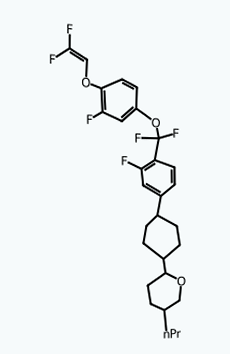 CCCC1CCC(C2CCC(c3ccc(C(F)(F)Oc4ccc(OC=C(F)F)c(F)c4)c(F)c3)CC2)OC1